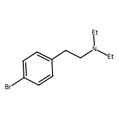 CCN(CC)CCc1ccc(Br)cc1